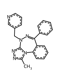 Cc1nnc2n1-c1ccccc1C(c1ccccc1)=NN2Cc1cccnc1